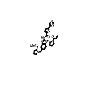 C=CC(=O)N1CCC[C@@H]1Cn1c(NC(=O)c2ccc(-c3cnco3)s2)nc2cc(CN3CCC[C@@H]3COC)ccc21